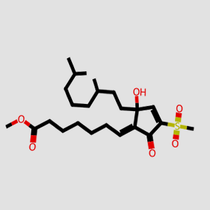 COC(=O)CCCCCC=C1C(=O)C(S(C)(=O)=O)=CC1(O)CCC(C)CCCC(C)C